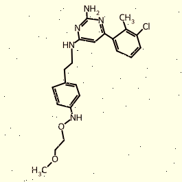 COCCONc1ccc(CCNc2cc(-c3cccc(Cl)c3C)nc(N)n2)cc1